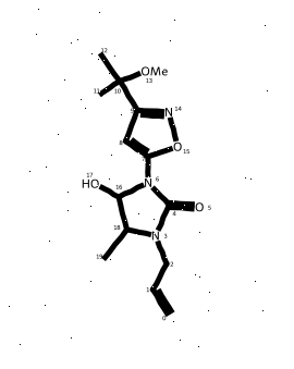 C=CCN1C(=O)N(c2cc(C(C)(C)OC)no2)C(O)C1C